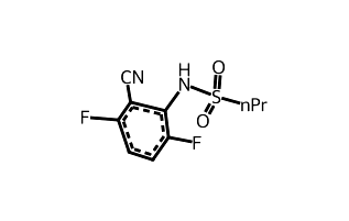 CCCS(=O)(=O)Nc1c(F)ccc(F)c1C#N